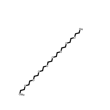 COCCOCCOCCOCCOCCOCCOCCOCCOCCO